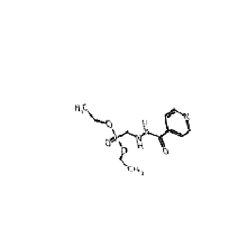 CCOP(=O)(CNNC(=O)c1ccncc1)OCC